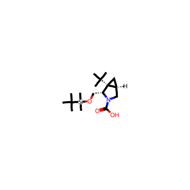 CC(C)(C)[C@]12C[C@H]1CN(C(=O)O)[C@@H]2CO[Si](C)(C)C(C)(C)C